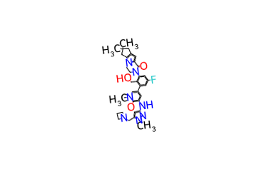 Cn1nc(Nc2cc(-c3cc(F)cc(N4CCn5c(cc6c5CC(C)(C)C6)C4=O)c3CO)cn(C)c2=O)cc1CN1CCC1